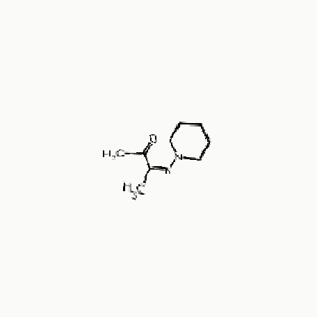 CC(=O)C(C)=NN1CCCCC1